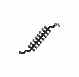 C=CCC(F)(F)C(F)(F)C(F)(F)C(F)(F)C(F)(F)C(F)(F)C(F)(F)C(F)(F)CCC=O